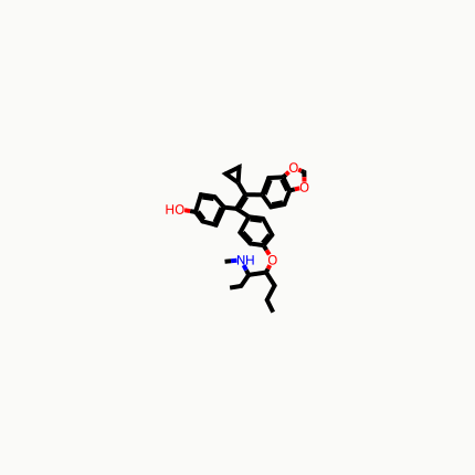 CCCC(Oc1ccc(C(=C(c2ccc3c(c2)OCO3)C2CC2)c2ccc(O)cc2)cc1)C(CC)NC